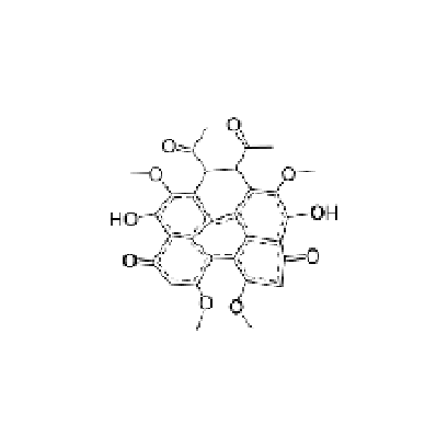 COc1c(O)c2c(=O)cc(OC)c3c4c(OC)cc(=O)c5c(O)c(OC)c6c(c(c1C(C(C)=O)C6C(C)=O)c23)c54